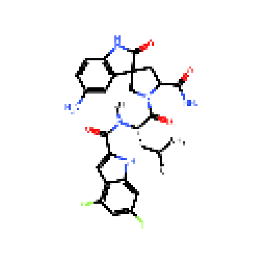 CC(C)C[C@@H](C(=O)N1C[C@]2(C[C@H]1C(N)=O)C(=O)Nc1ccc(N)cc12)N(C)C(=O)c1cc2c(F)cc(F)cc2[nH]1